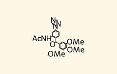 COc1cc(C(=O)c2ccc(-n3cncn3)cc2NC(C)=O)cc(OC)c1OC